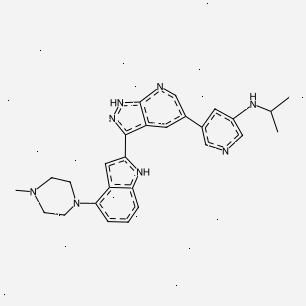 CC(C)Nc1cncc(-c2cnc3[nH]nc(-c4cc5c(N6CCN(C)CC6)cccc5[nH]4)c3c2)c1